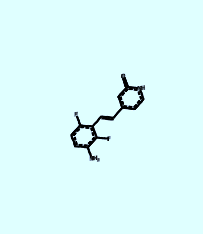 Nc1ccc(F)c(C=Cc2cc[nH]c(=O)c2)c1F